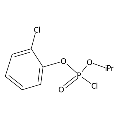 CC(C)OP(=O)(Cl)Oc1ccccc1Cl